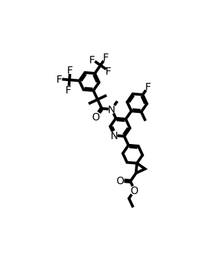 CCOC(=O)C1CC12CC=C(c1cc(-c3ccc(F)cc3C)c(N(C)C(=O)C(C)(C)c3cc(C(F)(F)F)cc(C(F)(F)F)c3)cn1)CC2